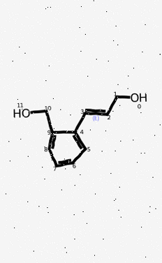 OC/C=C/c1ccccc1CO